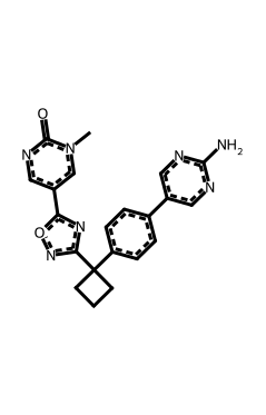 Cn1cc(-c2nc(C3(c4ccc(-c5cnc(N)nc5)cc4)CCC3)no2)cnc1=O